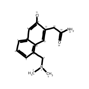 CN(C)Cc1cccc2cc(Cl)c(CC(N)=O)cc12